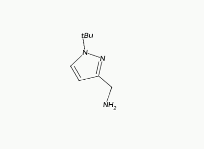 CC(C)(C)n1ccc(CN)n1